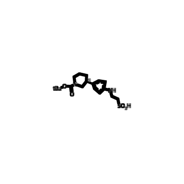 CC(C)(C)OC(=O)N1CCC[C@@H](c2ccc(NCCS(=O)(=O)O)cc2)C1